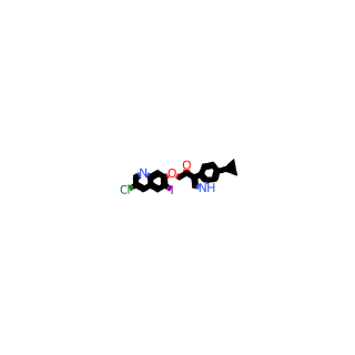 O=C(COc1cc2ncc(Cl)cc2cc1I)c1c[nH]c2cc(C3CC3)ccc12